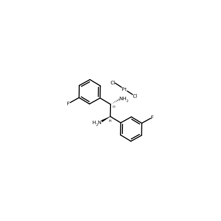 N[C@H](c1cccc(F)c1)[C@@H](N)c1cccc(F)c1.[Cl][Pt][Cl]